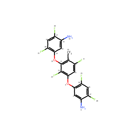 Nc1cc(Oc2cc(F)c(C(F)(F)F)c(Oc3cc(N)c(F)cc3F)c2F)c(F)cc1F